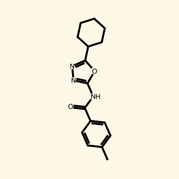 Cc1ccc(C(=O)Nc2nnc(C3CCCCC3)o2)cc1